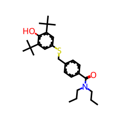 CCCN(CCC)C(=O)c1ccc(CSc2cc(C(C)(C)C)c(O)c(C(C)(C)C)c2)cc1